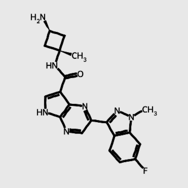 Cn1nc(-c2cnc3[nH]cc(C(=O)N[C@]4(C)C[C@@H](N)C4)c3n2)c2ccc(F)cc21